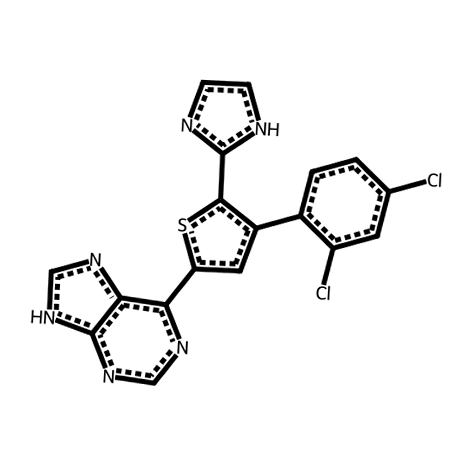 Clc1ccc(-c2cc(-c3ncnc4[nH]cnc34)sc2-c2ncc[nH]2)c(Cl)c1